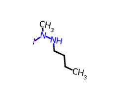 CCCCNN(C)I